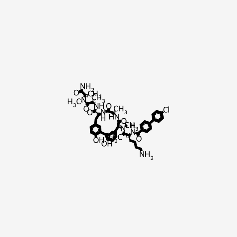 C=C([C@H](CCCCN)NC(=O)c1ccc(-c2ccc(Cl)cc2)cc1)N(C)[C@@H]1C(=O)N[C@@H](C)C(=O)N[C@H](C(=O)N[C@@H](C)C(=O)N(C)[C@@H](C)C(N)=O)Cc2ccc(O)c(c2)-c2cc1ccc2O